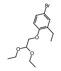 CCOC(COc1ccc(Br)cc1CC)OCC